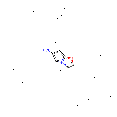 Nc1cc2occn2c1